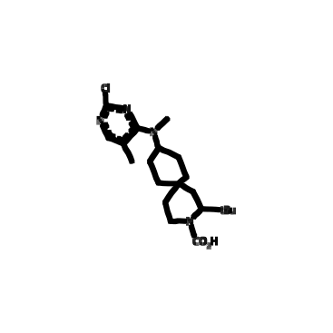 Cc1cnc(Cl)nc1N(C)C1CCC2(CC1)CCN(C(=O)O)C(C(C)(C)C)C2